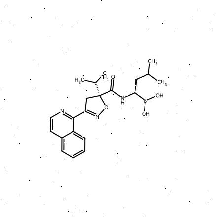 CC(C)C[C@H](NC(=O)[C@]1(C(C)C)CC(c2nccc3ccccc23)=NO1)B(O)O